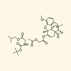 COc1ccc2c3c1O[C@H]1C(OC(=O)[C@H](C)OC(=O)C[C@H](NC(=O)OC(C)(C)C)C(=O)OCC(C)C)=CC[C@@]4(O)[C@@H](C2)N(C)CC[C@]314